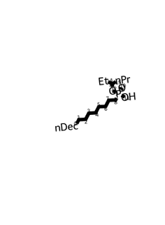 CCCCCCCCCCCCCCCCCCP(=O)(O)OC(CC)CCC